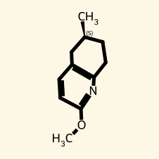 COc1ccc2c(n1)CC[C@H](C)C2